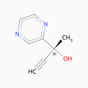 C#C[C@@](C)(O)c1cnccn1